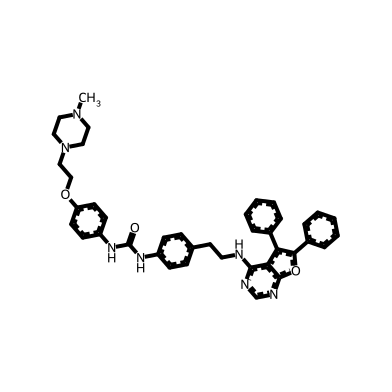 CN1CCN(CCOc2ccc(NC(=O)Nc3ccc(CCNc4ncnc5oc(-c6ccccc6)c(-c6ccccc6)c45)cc3)cc2)CC1